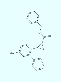 CC(C)(C)c1ccc(C2CC2C(=O)OCc2ccccc2)c(-c2ccncc2)c1